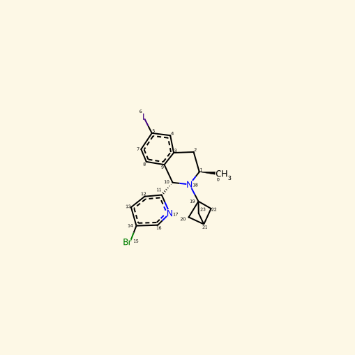 C[C@@H]1Cc2cc(I)ccc2[C@@H](c2ccc(Br)cn2)N1C12CC(C1)C2